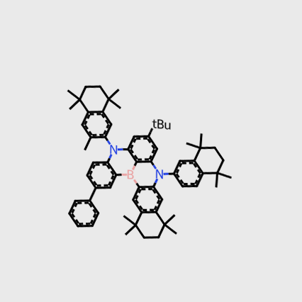 Cc1cc2c(cc1N1c3ccc(-c4ccccc4)cc3B3c4cc5c(cc4N(c4ccc6c(c4)C(C)(C)CCC6(C)C)c4cc(C(C)(C)C)cc1c43)C(C)(C)CCC5(C)C)C(C)(C)CCC2(C)C